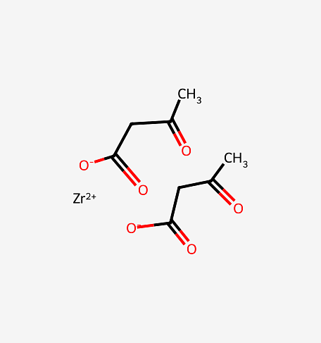 CC(=O)CC(=O)[O-].CC(=O)CC(=O)[O-].[Zr+2]